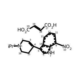 CC(C)N1CC=C(c2c[nH]c3c([N+](=O)[O-])cccc23)CC1.O=C(O)C=CC(=O)O